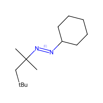 CC(C)(C)CC(C)(C)/N=N/C1CCCCC1